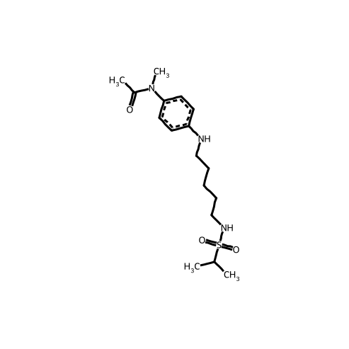 CC(=O)N(C)c1ccc(NCCCCCNS(=O)(=O)C(C)C)cc1